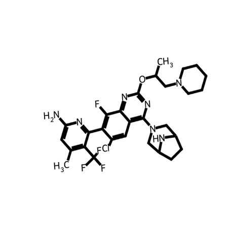 Cc1cc(N)nc(-c2c(Cl)cc3c(N4CC5CCC(C4)N5)nc(OC(C)CN4CCCCC4)nc3c2F)c1C(F)(F)F